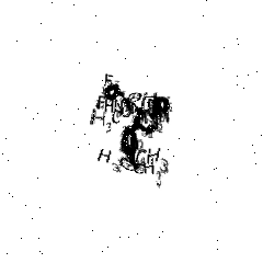 CC(=O)N[C@@H](Cc1cc(F)cc(F)c1)[C@H](O)CNC1CC(c2cccc(C(C)(C)C)c2)CCN1c1ncccn1